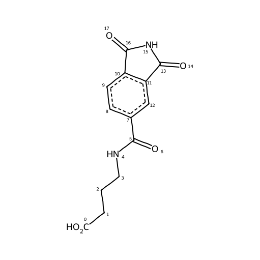 O=C(O)CCCNC(=O)c1ccc2c(c1)C(=O)NC2=O